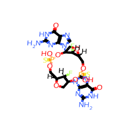 Nc1nc2c(ncn2[C@]23CO[C@H](COP(O)(=S)O[C@]4(n5cnc6c(=O)[nH]c(N)nc65)CO[C@H](COP(O)(=S)O2)[C@H]4F)[C@H]3F)c(=O)[nH]1